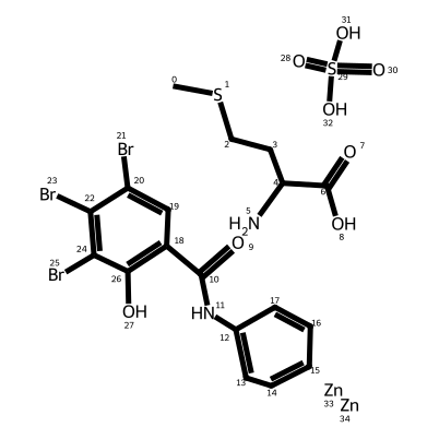 CSCCC(N)C(=O)O.O=C(Nc1ccccc1)c1cc(Br)c(Br)c(Br)c1O.O=S(=O)(O)O.[Zn].[Zn]